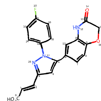 O=C(O)C=Cc1cc(-c2ccc3c(c2)NC(=O)CO3)n(-c2ccc(F)cc2)n1